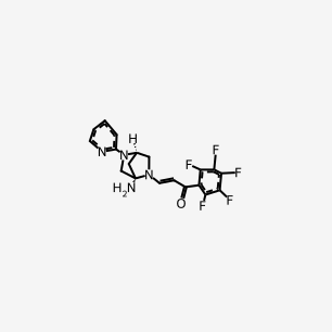 N[C@]12C[C@H](CN1/C=C/C(=O)c1c(F)c(F)c(F)c(F)c1F)N(c1ccccn1)C2